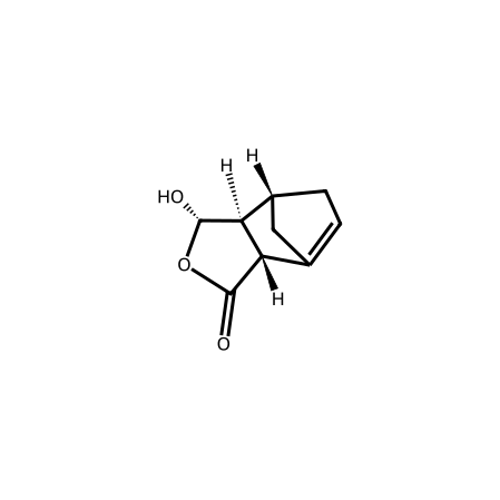 O=C1O[C@H](O)[C@H]2[C@@H]3CC=C(C3)[C@H]12